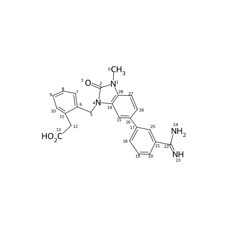 Cn1c(=O)n(Cc2ccccc2CC(=O)O)c2cc(-c3cccc(C(=N)N)c3)ccc21